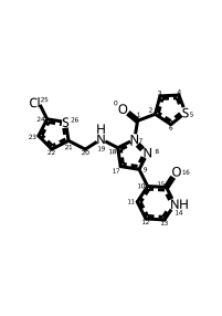 O=C(c1ccsc1)n1nc(-c2ccc[nH]c2=O)cc1NCc1ccc(Cl)s1